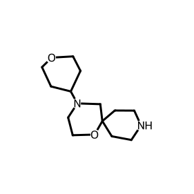 C1CC2(CCN1)CN(C1CCOCC1)CCO2